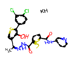 C/C(=N/NC(=O)c1ccc(C(=O)Nc2cccnc2)s1)c1csc(-c2ccc(Cl)c(Cl)c2)c1O.[KH]